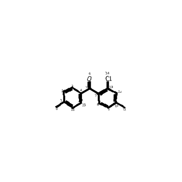 Cc1ccc(C(=O)c2ccc(C)cc2Cl)cc1